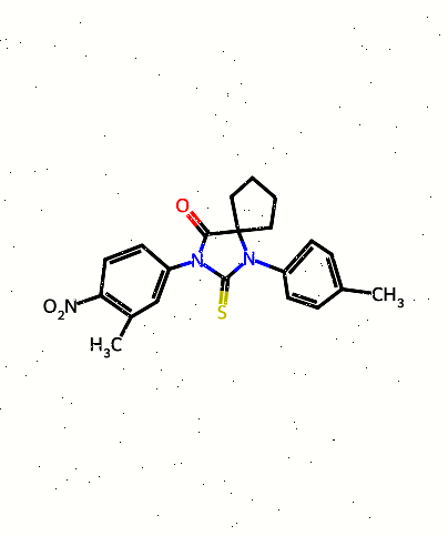 Cc1ccc(N2C(=S)N(c3ccc([N+](=O)[O-])c(C)c3)C(=O)C23CCCC3)cc1